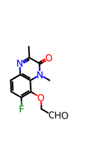 Cc1nc2ccc(F)c(OCC=O)c2n(C)c1=O